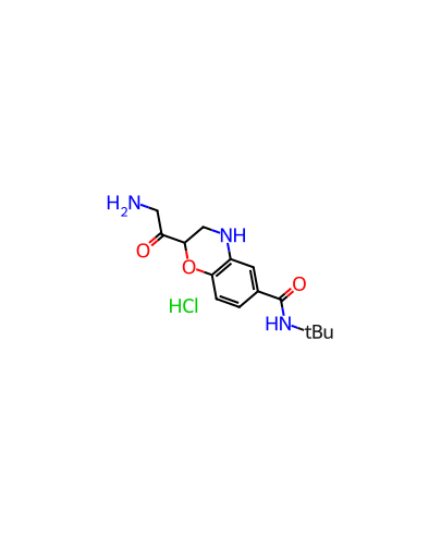 CC(C)(C)NC(=O)c1ccc2c(c1)NCC(C(=O)CN)O2.Cl